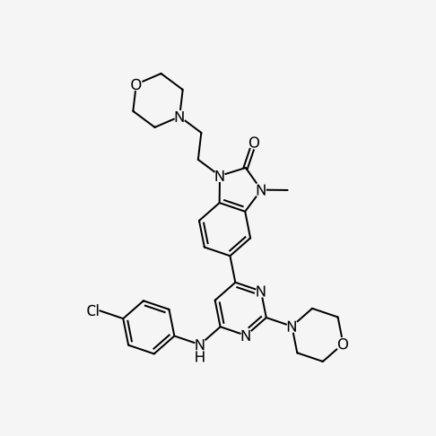 Cn1c(=O)n(CCN2CCOCC2)c2ccc(-c3cc(Nc4ccc(Cl)cc4)nc(N4CCOCC4)n3)cc21